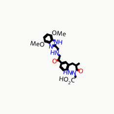 COc1ccc(OC)c2[nH]c(CNCC(=O)c3ccc4c(c3)CC(C)C(=O)N(CC(=O)O)N4)nc12